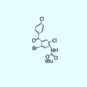 CC(C)(C)OC(=O)Nc1cc(Br)c(C(=O)c2ccc(Cl)cc2)cc1Cl